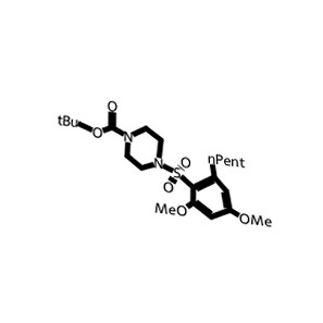 CCCCCc1cc(OC)cc(OC)c1S(=O)(=O)N1CCN(C(=O)OC(C)(C)C)CC1